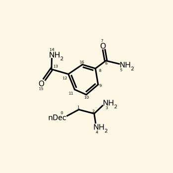 CCCCCCCCCCCC(N)N.NC(=O)c1cccc(C(N)=O)c1